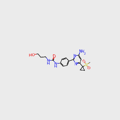 CS(=O)(=O)C1(c2cc(N)nc(-c3ccc(NC(=O)NCCCO)cc3)n2)CC1